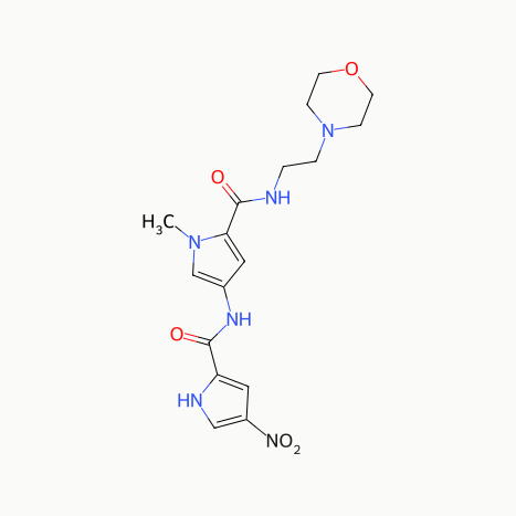 Cn1cc(NC(=O)c2cc([N+](=O)[O-])c[nH]2)cc1C(=O)NCCN1CCOCC1